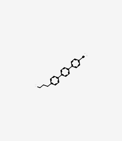 N#Cc1ccc(-c2ccc(-c3ccc(CCCF)cc3)cc2)cc1